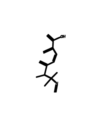 C=NC(C)(C)C(C)C(=C)/C=C\C(=C)C(=C)O